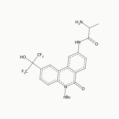 CCCCn1c(=O)c2ccc(NC(=O)C(C)N)cc2c2cc(C(O)(C(F)(F)F)C(F)(F)F)ccc21